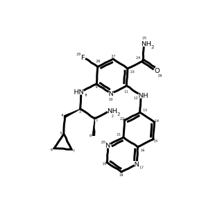 C[C@H](N)[C@@H](CC1CC1)Nc1nc(Nc2ccc3nccnc3c2)c(C(N)=O)cc1F